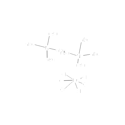 CCCC[N+](CCCC)(CCCC)CCCC.CCCC[N+](CCCC)(CCCC)CCCC.[Cl][Pt-2]([Cl])([Cl])([Cl])([Cl])[Cl]